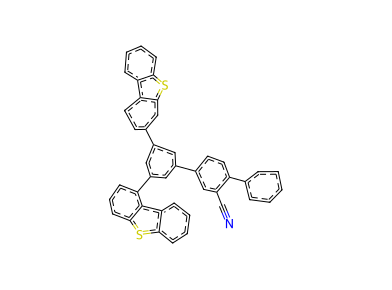 N#Cc1cc(-c2cc(-c3ccc4c(c3)sc3ccccc34)cc(-c3cccc4sc5ccccc5c34)c2)ccc1-c1ccccc1